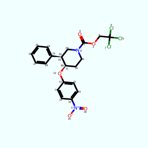 O=C(OCC(Cl)(Cl)Cl)N1CC[C@@H](Oc2ccc([N+](=O)[O-])cc2)[C@@H](c2ccccc2)C1